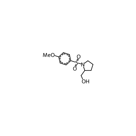 COc1ccc(S(=O)(=O)N2CCCC2CO)cc1